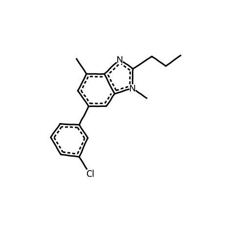 CCCc1nc2c(C)cc(-c3cccc(Cl)c3)cc2n1C